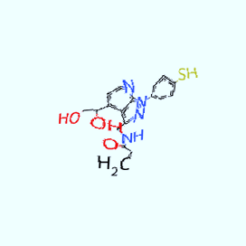 C=CC(=O)NCc1nn(-c2ccc(S)cc2)c2nccc(C(O)CO)c12